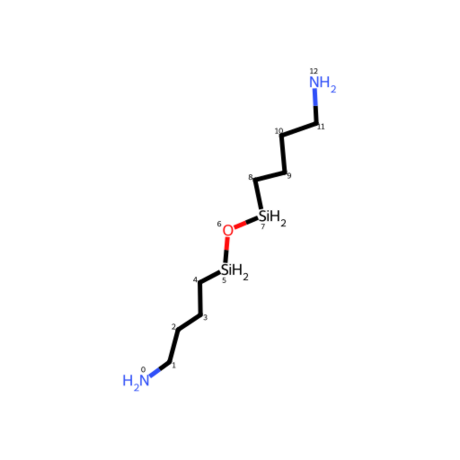 NCCCC[SiH2]O[SiH2]CCCCN